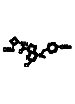 COc1ccc(CN(C)c2cc(Cl)nn3c(C(=O)N[C@@H]4CC[C@H]4OC)cnc23)cc1